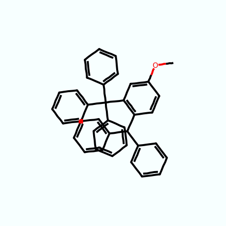 COc1ccc([C](c2ccccc2)c2ccccc2)c(C(c2ccccc2)(c2ccccc2)c2ccccc2)c1